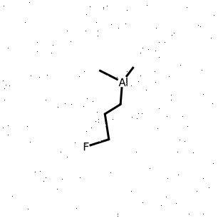 [CH3][Al]([CH3])[CH2]CCF